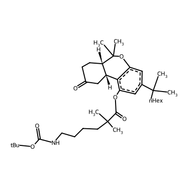 CCCCCCC(C)(C)c1cc(OC(=O)C(C)(C)CCCCNC(=O)OC(C)(C)C)c2c(c1)OC(C)(C)[C@H]1CCC(=O)C[C@@H]21